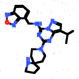 CC(C)c1cnn2c(NCc3cccc4nonc34)nc(N3CCC4(CCCN4)CC3)nc12